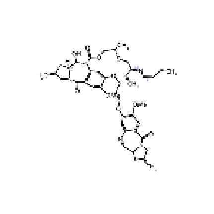 C=C/C=C\N=C(/C=C)SSC(C)COC(=O)N1c2cc(OCCCOc3cc4c(cc3OC)C(=O)N3CC(=C)CC3C=N4)c(OC)cc2C(=O)N2CC(=C)C[C@H]2C1O